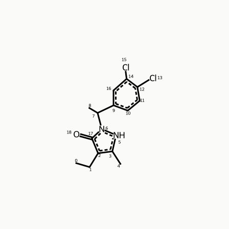 CCc1c(C)[nH]n(C(C)c2ccc(Cl)c(Cl)c2)c1=O